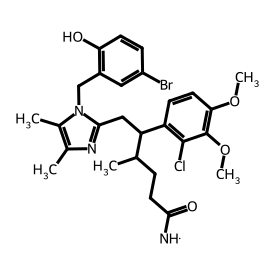 COc1ccc(C(Cc2nc(C)c(C)n2Cc2cc(Br)ccc2O)C(C)CCC([NH])=O)c(Cl)c1OC